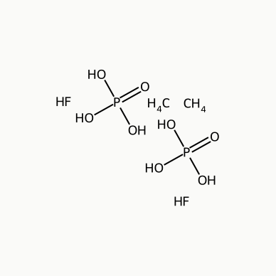 C.C.F.F.O=P(O)(O)O.O=P(O)(O)O